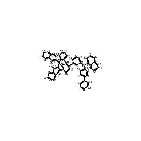 c1ccc(-c2ccc(N(c3cccc(-c4cccc5c4-c4ccccc4C54c5ccc6ccccc6c5Oc5c4ccc4ccccc54)c3)c3cccc4ccccc34)cc2)cc1